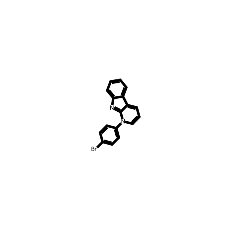 Brc1ccc(-n2cccc3c4ccccc4nc2-3)cc1